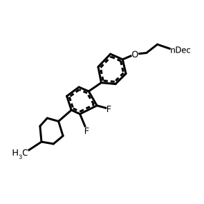 CCCCCCCCCCCCOc1ccc(-c2ccc(C3CCC(C)CC3)c(F)c2F)cc1